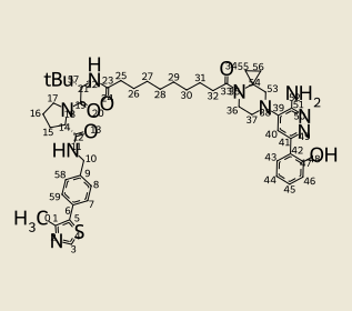 Cc1ncsc1-c1ccc(CNC(=O)[C@@H]2CCCN2C(=O)[C@@H](NC(=O)CCCCCCCCC(=O)N2CCN(c3cc(-c4ccccc4O)nnc3N)CC23CC3)C(C)(C)C)cc1